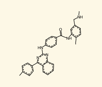 CNCc1ccc(C)c(NC(=O)c2ccc(Nc3nc(-c4ccc(C)cc4)c4ccccc4n3)cc2)c1